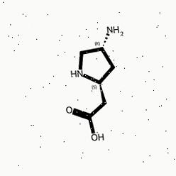 N[C@H]1CN[C@H](CC(=O)O)C1